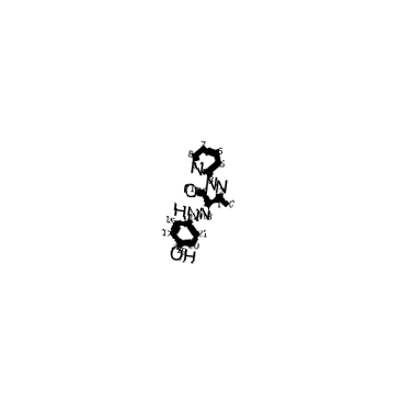 CC1=NN(c2ccccn2)C(=O)C1=NNc1ccc(O)cc1